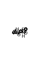 CC(=O)N1CCCC1CNC(=O)c1ccc2c(c1)NC(=O)c1ccccc1S2